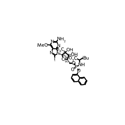 CCC(C)C(NP(=O)(OC[C@H]1O[C@@H](n2c(I)nc3c(OC)nc(N)nc32)[C@](C)(O)[C@@H]1O)Oc1cccc2ccccc12)C(=O)O